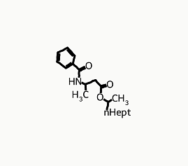 CCCCCCCC(C)OC(=O)CC(C)NC(=O)c1ccccc1